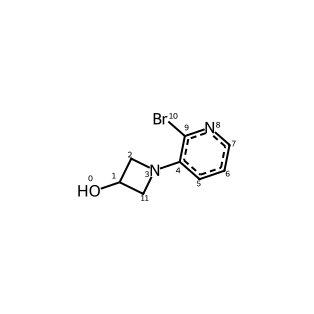 OC1CN(c2cccnc2Br)C1